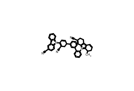 CC1CC=Cc2c3c(n(-c4ccccc4-c4cccc(C5C=CC(n6c7ccccc7c7cc(C#N)ccc76)=C(C#N)C5)c4)c21)C=C(C#N)CC3